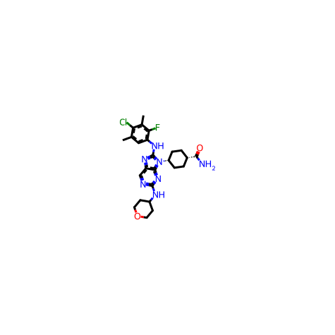 Cc1cc(Nc2nc3cnc(NC4CCOCC4)nc3n2[C@H]2CC[C@@H](C(N)=O)CC2)c(F)c(C)c1Cl